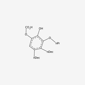 CCCCCCCCCCc1cc(OC(=O)O)c(O)c(OCCC)c1CCCCCCCCCC